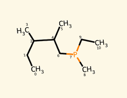 CCC(C)C(C)CP(C)CC